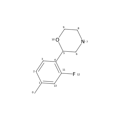 Cc1ccc(C2C[N]CCO2)c(F)c1